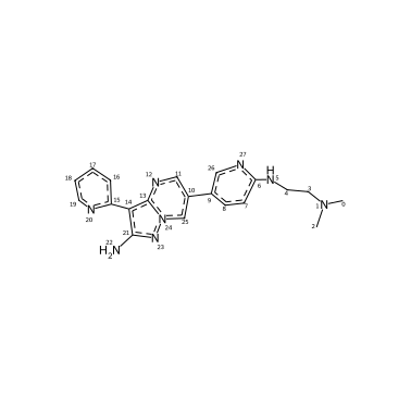 CN(C)CCNc1ccc(-c2cnc3c(-c4ccccn4)c(N)nn3c2)cn1